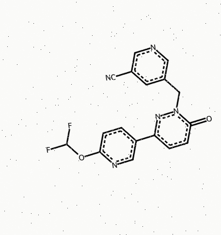 N#Cc1cncc(Cn2nc(-c3ccc(OC(F)F)nc3)ccc2=O)c1